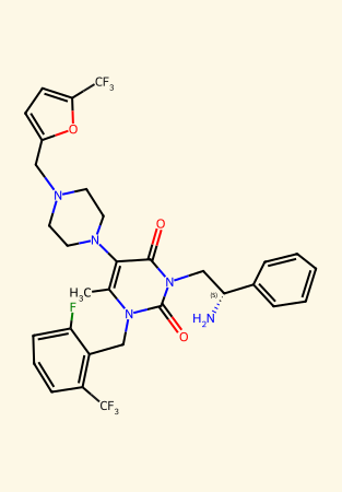 Cc1c(N2CCN(Cc3ccc(C(F)(F)F)o3)CC2)c(=O)n(C[C@@H](N)c2ccccc2)c(=O)n1Cc1c(F)cccc1C(F)(F)F